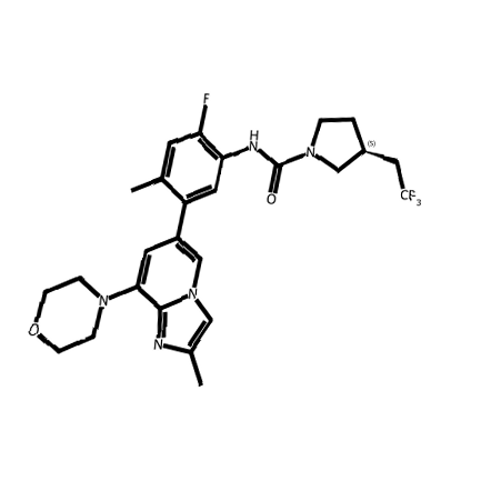 Cc1cn2cc(-c3cc(NC(=O)N4CC[C@@H](CC(F)(F)F)C4)c(F)cc3C)cc(N3CCOCC3)c2n1